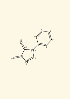 C=C1N=CN(c2ccccc2)C1=O